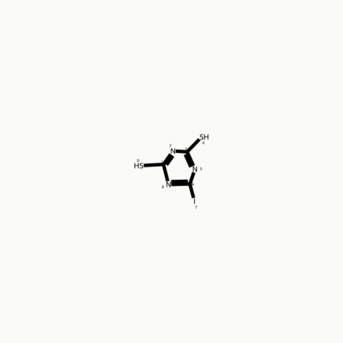 Sc1nc(S)nc(I)n1